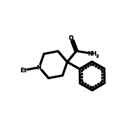 CCN1CCC(C(N)=O)(c2ccccc2)CC1